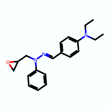 CCN(CC)c1ccc(C=NN(CC2CO2)c2ccccc2)cc1